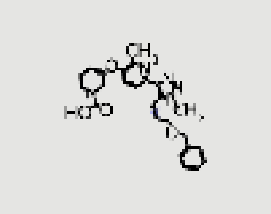 Cc1nc(-c2nnn(C)c2/C=C\COCc2ccccc2)ccc1O[C@H]1CCC[C@H](C(=O)O)C1